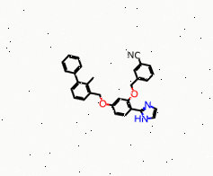 Cc1c(COc2ccc(-c3ncc[nH]3)c(OCc3cccc(C#N)c3)c2)cccc1-c1ccccc1